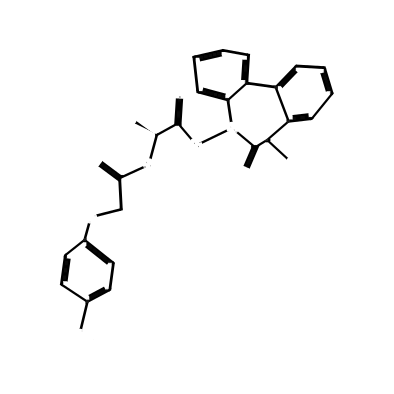 Cc1ccc(OCC(=O)N[C@@H](C)C(=O)NN2C(=O)C(C)c3ccccc3-c3ccccc32)cc1